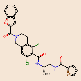 O=C[C@H](CNC(=O)c1cccs1)NC(=O)c1c(Cl)cc2c(c1Cl)CCN(C(=O)c1cc3ccccc3o1)C2